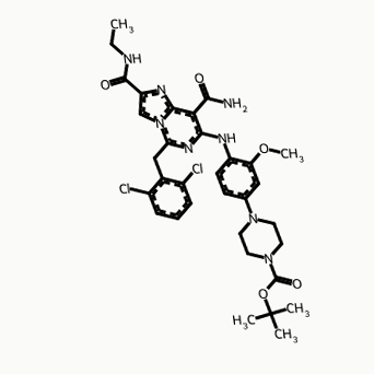 CCNC(=O)c1cn2c(Cc3c(Cl)cccc3Cl)nc(Nc3ccc(N4CCN(C(=O)OC(C)(C)C)CC4)cc3OC)c(C(N)=O)c2n1